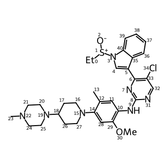 CC[S+]([O-])n1cc(-c2nc(Nc3cc(C)c(N4CCC(N5CCN(C)CC5)CC4)cc3OC)ncc2Cl)c2ccccc21